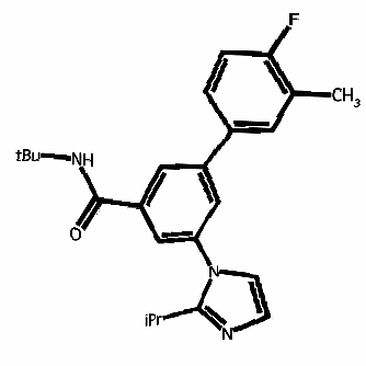 Cc1cc(-c2cc(C(=O)NC(C)(C)C)cc(-n3ccnc3C(C)C)c2)ccc1F